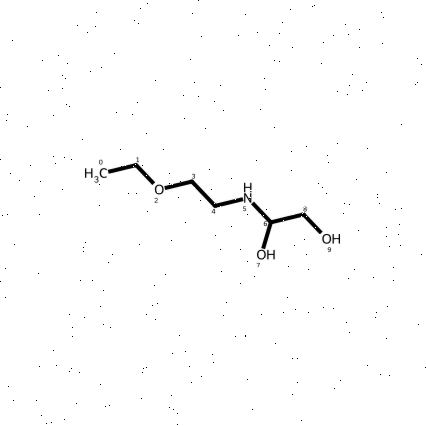 CCOCCNC(O)CO